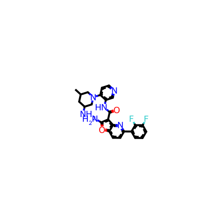 CC1CC(N)CN(c2ccncc2NC(=O)c2c(N)oc3ccc(-c4cccc(F)c4F)nc23)C1